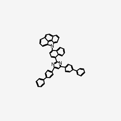 c1ccc(-c2ccc(-c3cc(-c4ccc(-c5ccccc5)cc4)nc(-c4ccc(-n5c6cccc7ccc8cccc5c8c76)c5ccccc45)n3)cc2)cc1